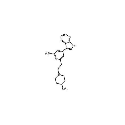 CN1CCN(CCc2cc(-c3c[nH]c4ncccc34)nc(N)n2)CC1